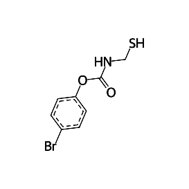 O=C(NCS)Oc1ccc(Br)cc1